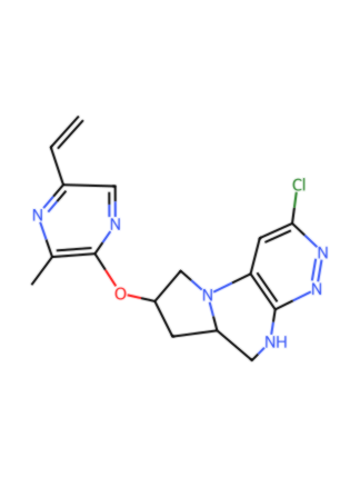 C=Cc1cnc(OC2CC3CNc4nnc(Cl)cc4N3C2)c(C)n1